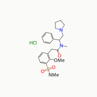 CNS(=O)(=O)c1cccc(CC(=O)N(C)C(CN2CCCC2)c2ccccc2)c1OC.Cl